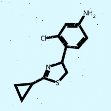 Nc1ccc(C2CSC(C3CC3)=N2)c(Cl)c1